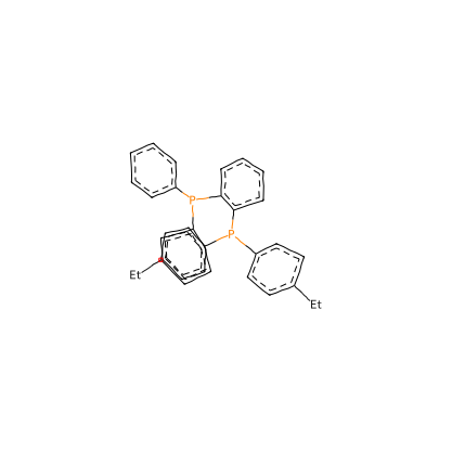 CCc1ccc(P(c2ccc(CC)cc2)c2ccccc2P(c2ccccc2)c2ccccc2)cc1